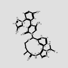 CC1CCCC(n2cc(C(F)(F)F)c(-c3cc(Cl)ccc3-n3cc(Cl)nn3)cc2=O)c2cc(ccn2)-c2c(cnn2C(F)F)NC1=O